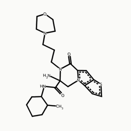 CC1CCCCC1NC(=O)C1(N)Cn2c(cc3sccc32)C(=O)N1CCCN1CCOCC1